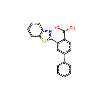 OB(O)c1ccc(-c2ccccc2)cc1-c1nc2ccccc2s1